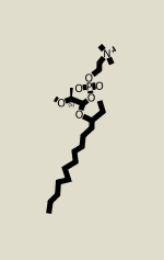 CCCCCCCCCCCC(CC)OC(OP(=O)([O-])OCC[N+](C)(C)C)[C@H](C)OC